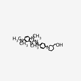 CN(C)c1ccc2c(c1)N(C)C(N=Nc1ccc(N3CCCC(CO)C3)cc1)N2C